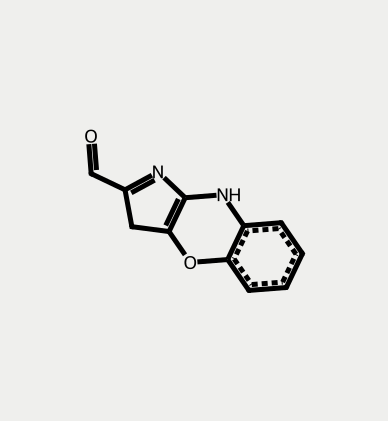 O=CC1=NC2=C(C1)Oc1ccccc1N2